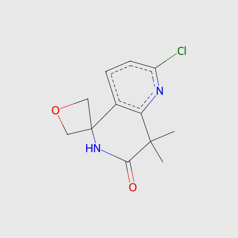 CC1(C)C(=O)NC2(COC2)c2ccc(Cl)nc21